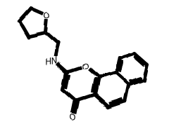 O=c1cc(NCC2CCCO2)oc2c1ccc1ccccc12